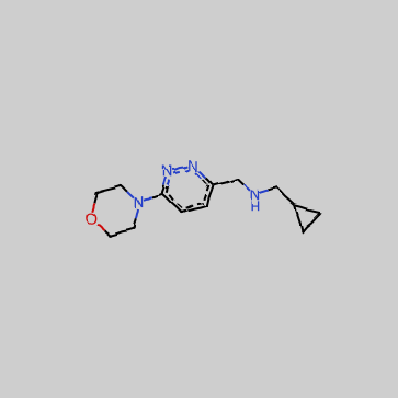 c1cc(N2CCOCC2)nnc1CNCC1CC1